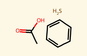 CC(=O)O.S.c1ccccc1